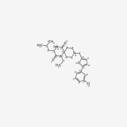 CCN1C(=O)C(CC(C)C)NC(=O)C12CCN(Cc1ccc(-c3cccc(Cl)c3)o1)CC2